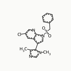 Cc1ncn(C)c1-c1cn(S(=O)(=O)Cc2ccccc2)c2ncc(Cl)cc12